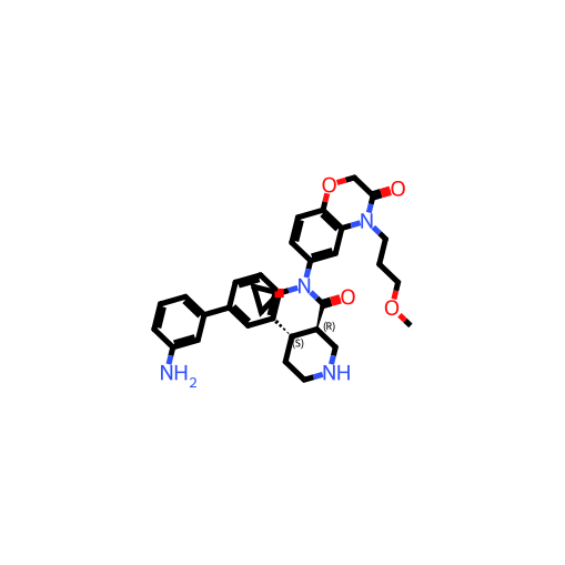 COCCCN1C(=O)COc2ccc(N(C(=O)[C@H]3CNCC[C@@H]3c3cccc(-c4cccc(N)c4)c3)C3CC3)cc21